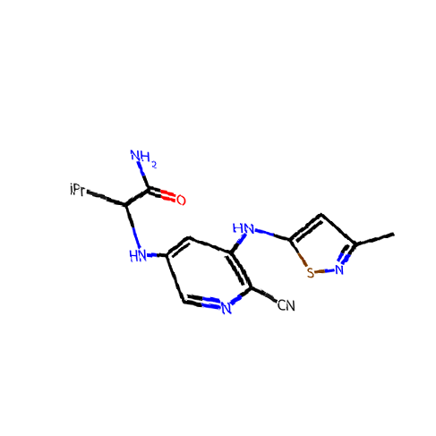 Cc1cc(Nc2cc(NC(C(N)=O)C(C)C)cnc2C#N)sn1